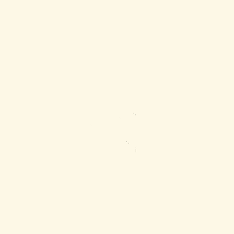 O=[N+]([O-])c1cc(C(F)(F)F)ccc1N1C=CC=CC=C1.[H+]